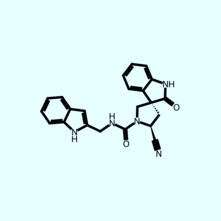 N#C[C@@H]1C[C@@]2(CN1C(=O)NCc1cc3ccccc3[nH]1)C(=O)Nc1ccccc12